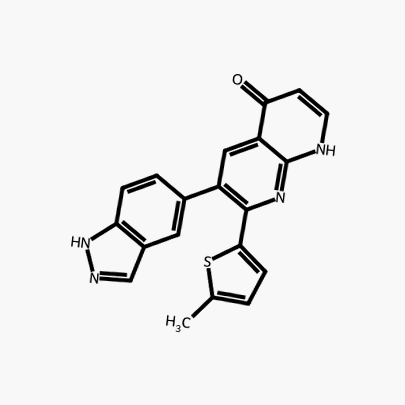 Cc1ccc(-c2nc3[nH]ccc(=O)c3cc2-c2ccc3[nH]ncc3c2)s1